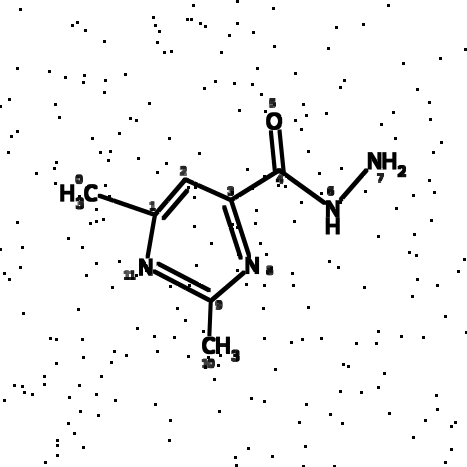 Cc1cc(C(=O)NN)nc(C)n1